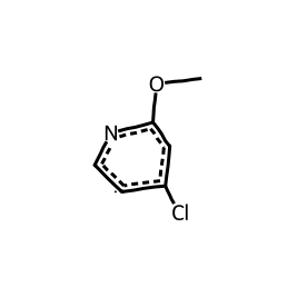 COc1cc(Cl)[c]cn1